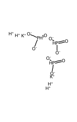 O=[PH]([O-])[O-].O=[PH]([O-])[O-].O=[PH]([O-])[O-].[H+].[H+].[H+].[H+].[K+].[K+]